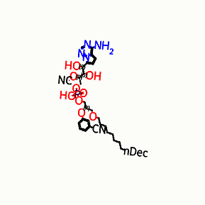 CCCCCCCCCCCCCCCCCCOC[C@H](COP(=O)(O)OC[C@@H](OC#N)[C@@H](O)[C@@H](O)c1ccc2c(N)ncnn12)Oc1cccc(C#N)c1